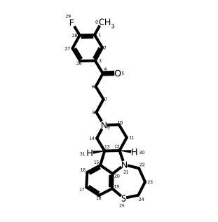 Cc1cc(C(=O)CCCN2CC[C@H]3[C@@H](C2)c2cccc4c2N3CCCS4)ccc1F